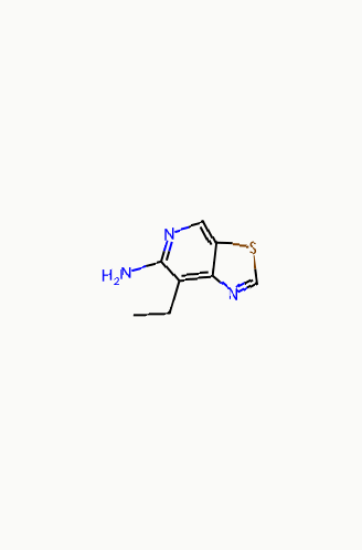 CCc1c(N)ncc2scnc12